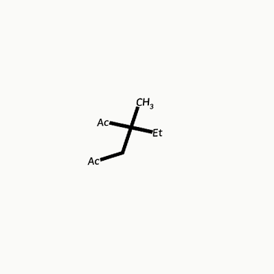 CCC(C)(CC(C)=O)C(C)=O